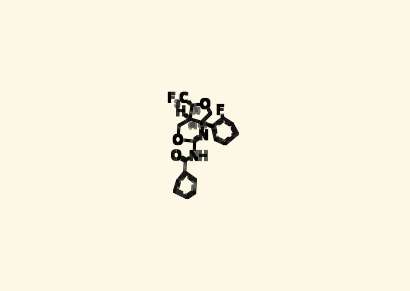 O=C(NC1=N[C@@]2(c3ccccc3F)CO[C@H](C(F)(F)F)[C@H]2CO1)c1ccccc1